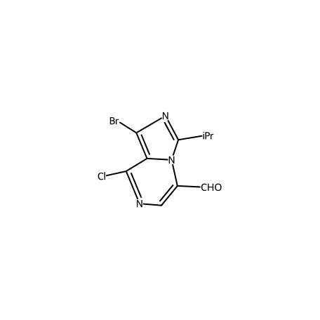 CC(C)c1nc(Br)c2c(Cl)ncc(C=O)n12